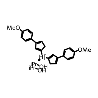 CC(C)O.CC(C)O.[CH2]=[Hf]([C]1=CC(c2ccc(OC)cc2)=CC1)[C]1=CC(c2ccc(OC)cc2)=CC1